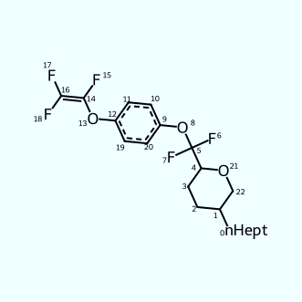 CCCCCCCC1CCC(C(F)(F)Oc2ccc(OC(F)=C(F)F)cc2)OC1